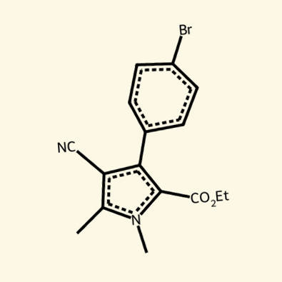 CCOC(=O)c1c(-c2ccc(Br)cc2)c(C#N)c(C)n1C